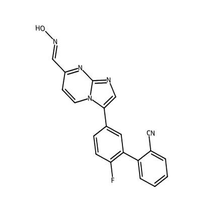 N#Cc1ccccc1-c1cc(-c2cnc3nc(C=NO)ccn23)ccc1F